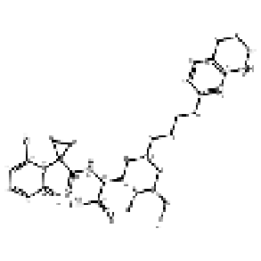 CO[C@H](CF)CN(CCCCc1ccc2c(n1)NCCC2)CC[C@H](NC(=O)C1(n2c(Cl)cccc2=O)CC1)C(=O)O